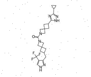 O=C(N1CC2(CC(Cc3n[nH]cc3C(F)(F)F)C2)C1)N1CC2(CC(c3nc(C4CC4)n[nH]3)C2)C1